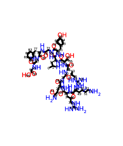 CC(C)C[C@H](NC(=O)[C@@H](NC(=O)[C@H](CCCNC(=N)N)NC(=O)CNC(=O)[C@H](CCC(N)=O)NC(=O)[C@H](CCCNC(=N)N)NC(=O)[C@@H](N)CCCCN)[C@@H](C)O)C(=O)N[C@@H](Cc1ccc(O)cc1)C(=O)NCC(=O)N[C@@H](Cc1ccccc1)C(=O)NCC(=O)NCC(=O)O